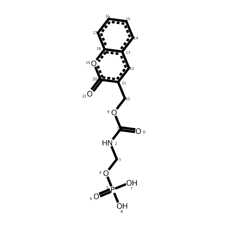 O=C(NCOP(=O)(O)O)OCc1cc2ccccc2oc1=O